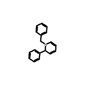 C1=CC(c2ccccc2)N(Cc2ccccc2)C=C1